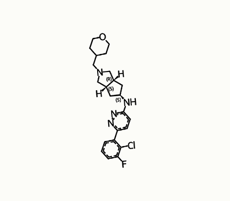 Fc1cccc(-c2ccc(N[C@H]3C[C@@H]4CN(CC5CCOCC5)C[C@@H]4C3)nn2)c1Cl